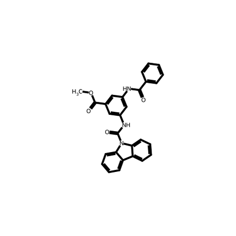 COC(=O)c1cc(NC(=O)c2ccccc2)cc(NC(=O)n2c3ccccc3c3ccccc32)c1